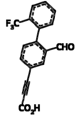 O=Cc1cc(C#CC(=O)O)ccc1-c1ccccc1C(F)(F)F